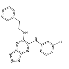 Clc1cccc(Nc2nc3nonc3nc2NCCc2ccccc2)c1